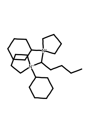 CCCCC([N+]1(C2CCCCC2)CCCC1)[N+]1(C2CCCCC2)CCCC1